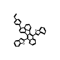 C=Cc1ccc(-c2ccc3c4c(cccc24)-c2c-3c(-c3cc4ccccc4s3)c3ccccc3c2-c2cc3ccccc3s2)cc1